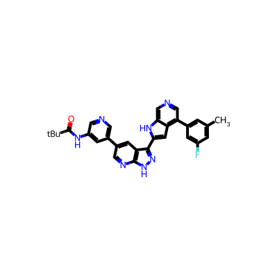 Cc1cc(F)cc(-c2cncc3[nH]c(-c4n[nH]c5ncc(-c6cncc(NC(=O)C(C)(C)C)c6)cc45)cc23)c1